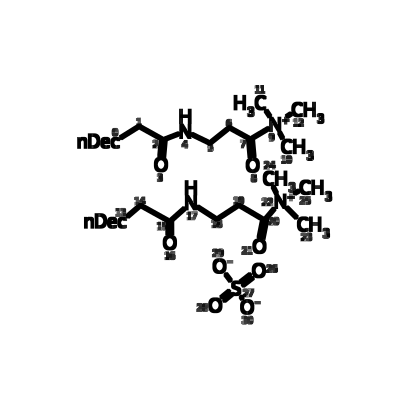 CCCCCCCCCCCC(=O)NCCC(=O)[N+](C)(C)C.CCCCCCCCCCCC(=O)NCCC(=O)[N+](C)(C)C.O=S(=O)([O-])[O-]